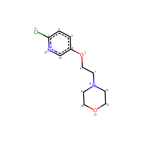 Clc1ccc(OCCN2CCOCC2)cn1